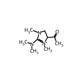 CC(=O)C1CN(C)C(N(C)C)=[N+]1C